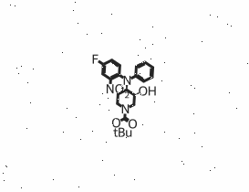 CC(C)(C)OC(=O)N1CC[C@@H](N(c2ccccc2)c2ccc(F)cc2[N+](=O)[O-])[C@H](O)C1